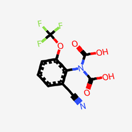 N#Cc1cccc(OC(F)(F)F)c1N(C(=O)O)C(=O)O